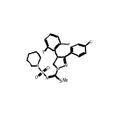 CSC(=NS(=O)(=O)N1CCCCC1)N1CC(c2c(F)cccc2F)C(c2ccc(Cl)cc2)=N1